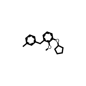 COc1c(Cc2cccc(C)c2)cccc1OC1CCCC1